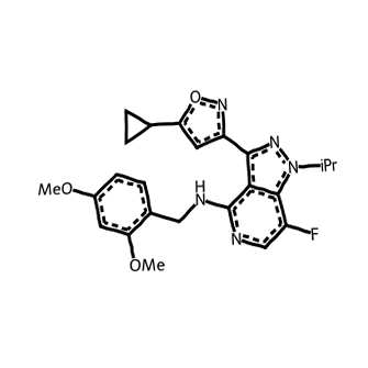 COc1ccc(CNc2ncc(F)c3c2c(-c2cc(C4CC4)on2)nn3C(C)C)c(OC)c1